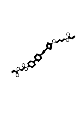 C=CC(=O)OCCCCOc1ccc(C#Cc2ccc(C3CCC(OC(=O)COC(=O)C=C)CC3)cc2)cc1